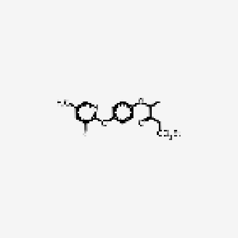 CCOC(=O)CC(=O)C(C)Oc1ccc(Oc2ncc(C(F)(F)F)cc2Cl)cc1